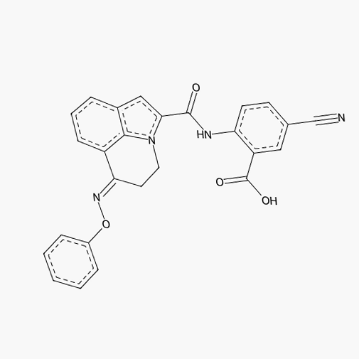 N#Cc1ccc(NC(=O)c2cc3cccc4c3n2CC/C4=N\Oc2ccccc2)c(C(=O)O)c1